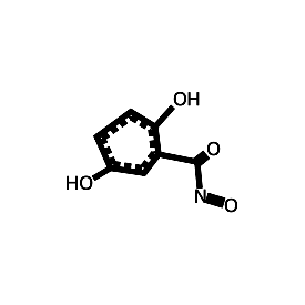 O=NC(=O)c1cc(O)ccc1O